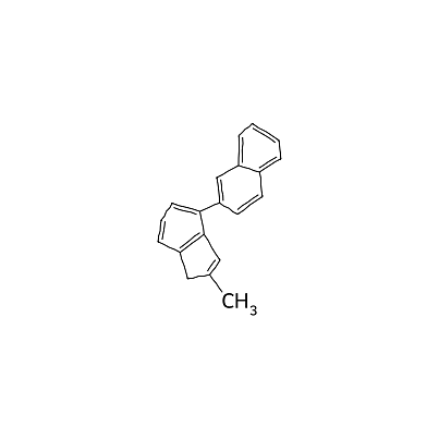 CC1=Cc2c(cccc2-c2ccc3ccccc3c2)C1